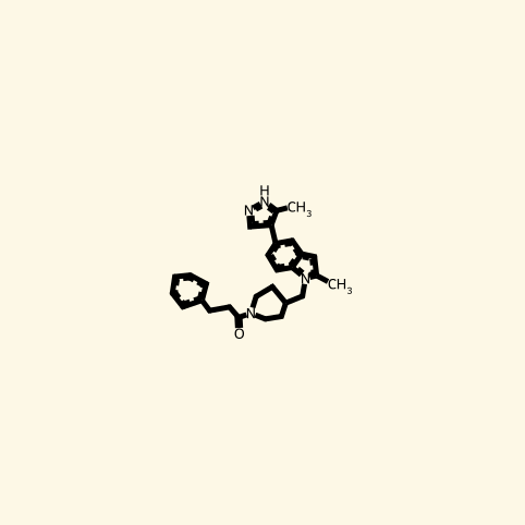 Cc1[nH]ncc1-c1ccc2c(c1)cc(C)n2CC1CCN(C(=O)CCc2ccccc2)CC1